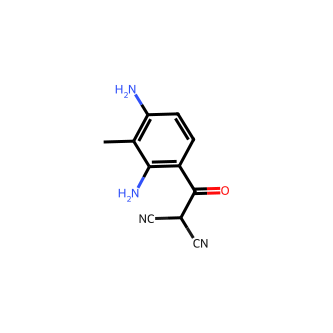 Cc1c(N)ccc(C(=O)C(C#N)C#N)c1N